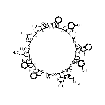 CCCC[C@H]1C(=O)N(C)CC(=O)N[C@@H](CC(=O)O)C(=O)N[C@@H](C(C)C)C(=O)N(C)[C@@H](Cc2ccccc2)C(=O)N[C@@H](Cc2ccc(O)cc2)C(=O)N(C)CC(=O)N[C@@H](Cc2c[nH]c3ccccc23)C(=O)NC(Cc2ccc(O)cc2)C(=O)NCC(=O)N[C@H](C(=O)NCC(N)=O)C(c2nc(C)c[nH]2)SCC(=O)N[C@@H](Cc2ccccc2)C(=O)N(C)[C@@H](Cc2ccccc2)C(=O)N1C